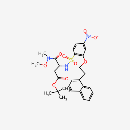 CON(C)C(=O)C(CC(=O)OC(C)(C)C)NS(=O)(=O)c1ccc([N+](=O)[O-])cc1OCCc1cccc2ccccc12